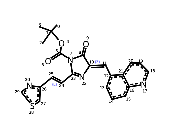 CC(C)(C)OC(=O)N1C(=O)/C(=C/c2cccc3ncccc23)N=C1/C=C/c1cscn1